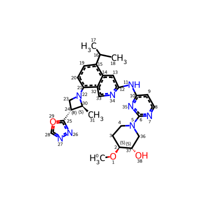 CO[C@H]1CCN(c2nccc(Nc3cc4c(C(C)C)ccc(N5C[C@@H](c6nnco6)[C@@H]5C)c4cn3)n2)C[C@@H]1O